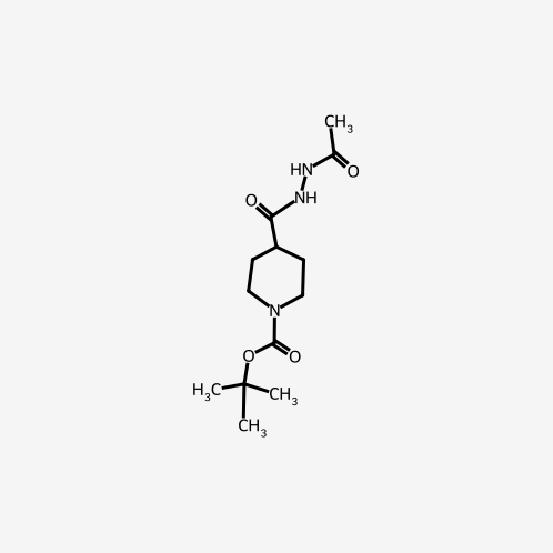 CC(=O)NNC(=O)C1CCN(C(=O)OC(C)(C)C)CC1